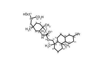 CCCCCCCCN(CC1(C)CCC(C)(C)C(NC(=O)OCC2(C)CCCC3(C)C4CCC(C(C)C)CC4CCC23)C1)C(=O)O